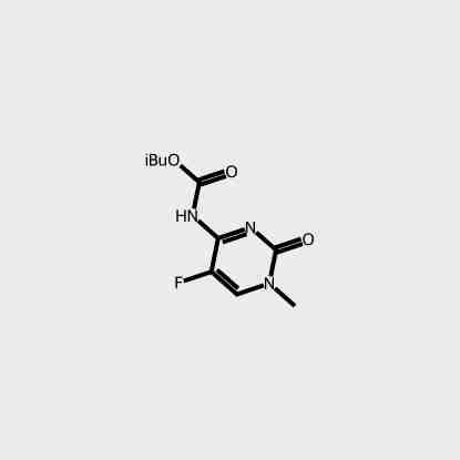 CC(C)COC(=O)Nc1nc(=O)n(C)cc1F